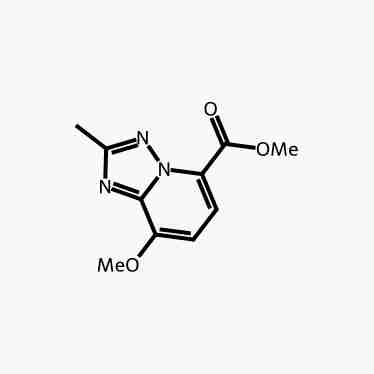 COC(=O)c1ccc(OC)c2nc(C)nn12